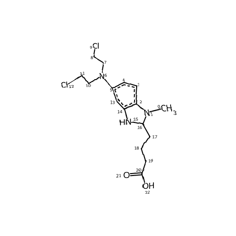 CN1c2ccc(N(CCCl)CCCl)cc2NC1CCCC(=O)O